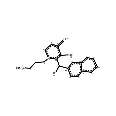 CCOC(=O)CCCn1ccc(=O)c(O)c1C(O)c1ccc2ccccc2c1